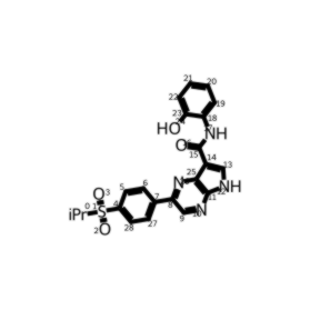 CC(C)S(=O)(=O)c1ccc(-c2cnc3[nH]cc(C(=O)Nc4ccccc4O)c3n2)cc1